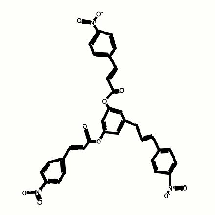 O=C(/C=C/c1ccc([N+](=O)[O-])cc1)Oc1cc(C/C=C/c2ccc([N+](=O)[O-])cc2)cc(OC(=O)/C=C/c2ccc([N+](=O)[O-])cc2)c1